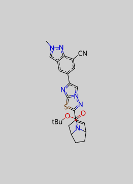 Cn1cc2cc(-c3cn4nc(C5=CC6CCC(C5)N6C(=O)OC(C)(C)C)sc4n3)cc(C#N)c2n1